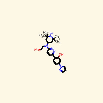 CC1(C)CC(N(CCO)c2ccc(-c3ccc(-n4cccn4)cc3O)nn2)CC(C)(C)N1